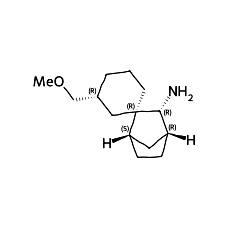 COC[C@@H]1CCC[C@@]2(C1)[C@H]1CC[C@H](C1)[C@H]2N